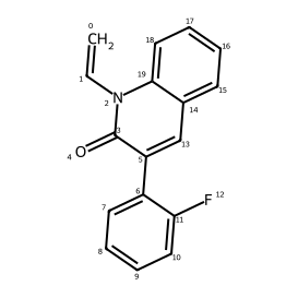 C=Cn1c(=O)c(-c2ccccc2F)cc2ccccc21